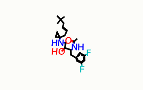 CC(=O)NC(Cc1cc(F)cc(F)c1)C(O)CNC1(C/C=C/CC(C)(C)C)CC1